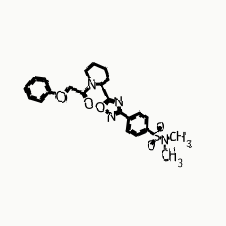 CN(C)S(=O)(=O)c1ccc(-c2noc(C3CCCCN3C(=O)COc3ccccc3)n2)cc1